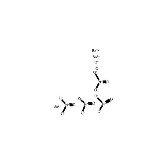 O=[N+]([O-])[O-].O=[N+]([O-])[O-].O=[N+]([O-])[O-].O=[N+]([O-])[O-].[Ba+2].[Ba+2].[Ba+2].[O-].[O-]